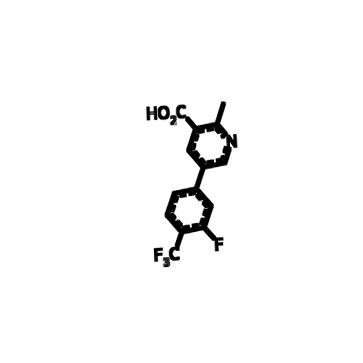 Cc1ncc(-c2ccc(C(F)(F)F)c(F)c2)cc1C(=O)O